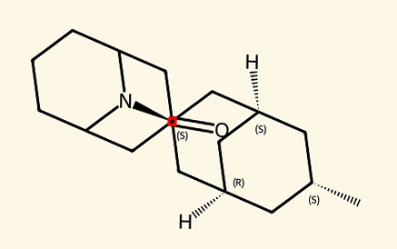 C[C@@H]1C[C@@H]2C[C@H](C1)C[C@H](N1C3CCCC1CC(=O)C3)C2